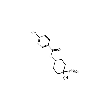 CCCCCCCC1(C#N)CCC(OC(=O)c2ccc(CCC)cc2)CC1